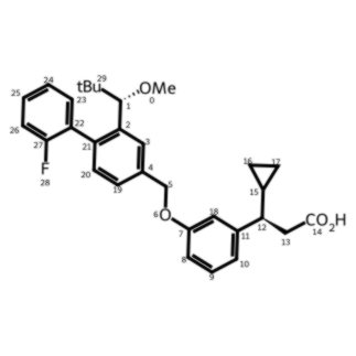 CO[C@H](c1cc(COc2cccc([C@H](CC(=O)O)C3CC3)c2)ccc1-c1ccccc1F)C(C)(C)C